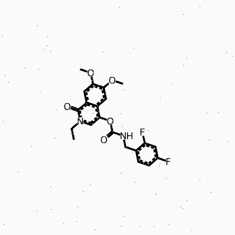 CCn1cc(OC(=O)NCc2ccc(F)cc2F)c2cc(OC)c(OC)cc2c1=O